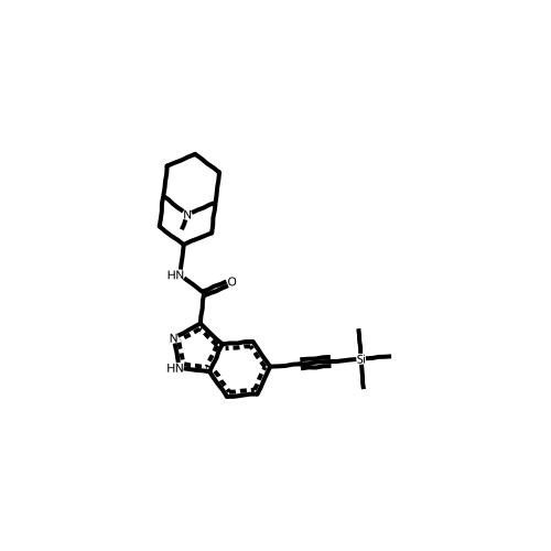 CN1C2CCCC1CC(NC(=O)c1n[nH]c3ccc(C#C[Si](C)(C)C)cc13)C2